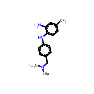 CC(C)(C)N(Cc1ccc(Nc2ccc(C(F)(F)F)cc2N)cc1)C(=O)O